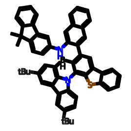 CC(C)(C)c1ccc2c(c1)c1cc(C(C)(C)C)cc3c1n2-c1c(c(-c2cc4ccccc4cc2Nc2ccc4c(c2)-c2ccccc2C4(C)C)cc2c1sc1ccccc12)B3